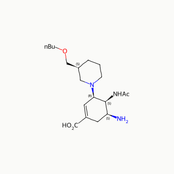 CCCCOC[C@H]1CCCN([C@@H]2C=C(C(=O)O)C[C@H](N)[C@@H]2NC(C)=O)C1